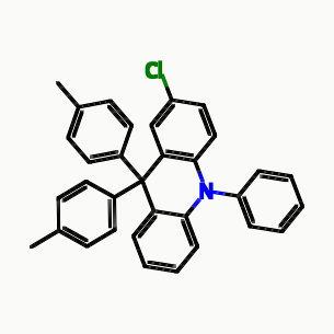 Cc1ccc(C2(c3ccc(C)cc3)c3ccccc3N(c3ccccc3)c3ccc(Cl)cc32)cc1